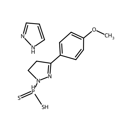 COc1ccc(C2=NN([PH](=S)S)CC2)cc1.c1cn[nH]c1